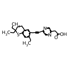 CCc1cc2c(cc1C#Cc1cnc(CC(=O)O)cn1)CCC(CC)(CC)S2